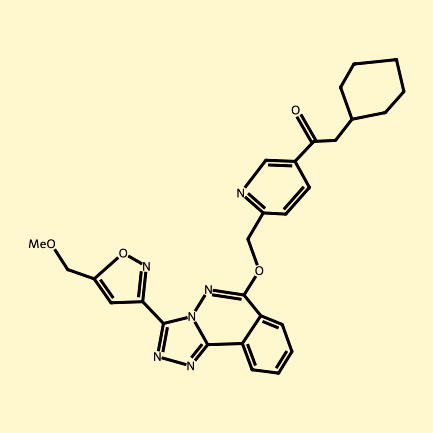 COCc1cc(-c2nnc3c4ccccc4c(OCc4ccc(C(=O)CC5CCCCC5)cn4)nn23)no1